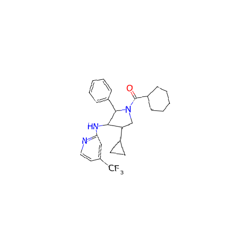 O=C(C1CCCCC1)N1CC(C2CC2)C(Nc2cc(C(F)(F)F)ccn2)C1c1ccccc1